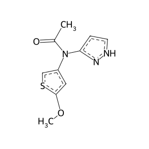 COc1cc(N(C(C)=O)c2cc[nH]n2)cs1